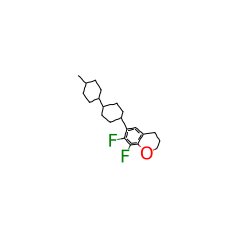 CC1CCC(C2CCC(c3cc4c(c(F)c3F)OCCC4)CC2)CC1